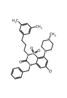 Cc1cc(C)cc(CCCN2C(=O)N(Cc3ccccc3)c3cc(Cl)cc(N4CCN(C)CC4)c3S2(=O)=O)c1